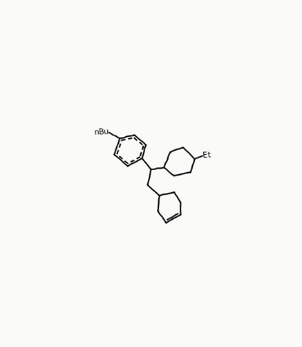 CCCCc1ccc(C(CC2CC=CCC2)C2CCC(CC)CC2)cc1